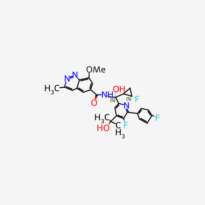 COc1cc(C(=O)NC[C@](O)(c2cc(C(C)(C)O)c(F)c(-c3ccc(F)cc3)n2)C2C[C@@H]2F)cc2cc(C)nnc12